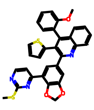 COc1ccccc1-c1c(-c2cccs2)c(-c2cc3c(c(-c4ccnc(SC)n4)c2)OCO3)nc2[c]cccc12